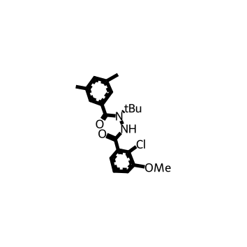 COc1cccc(C(=O)NN(C(=O)c2cc(C)cc(C)c2)C(C)(C)C)c1Cl